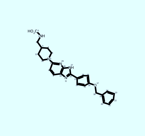 O=C(O)NCC1CCN(c2ccc3nc(-c4ccc(OCc5ccccc5)cc4)[nH]c3n2)CC1